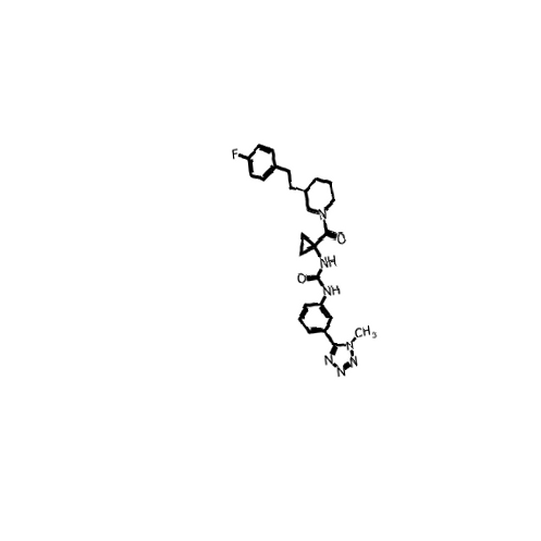 Cn1nnnc1-c1cccc(NC(=O)NC2(C(=O)N3CCC[C@H](CCc4ccc(F)cc4)C3)CC2)c1